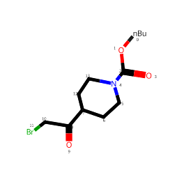 CCCCOC(=O)N1CCC(C(=O)CBr)CC1